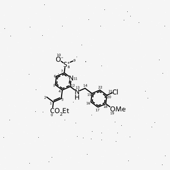 CCOC(=O)/C(C)=C/c1ccc([S+](C)[O-])nc1NCc1ccc(OC)c(Cl)c1